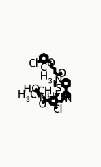 Cc1c(Cl)cccc1OCCCC(=O)N1CCSc2c(-c3cnn(Cc4c(F)cc(C(=O)NCC(C)(C)O)cc4Cl)c3)cccc21